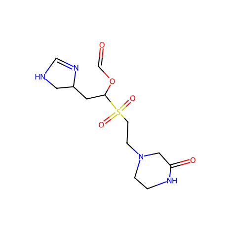 O=COC(CC1CNC=N1)S(=O)(=O)CCN1CCNC(=O)C1